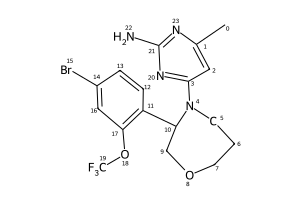 Cc1cc(N2CCCOCC2c2ccc(Br)cc2OC(F)(F)F)nc(N)n1